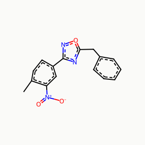 Cc1ccc(-c2noc(Cc3ccccc3)n2)cc1[N+](=O)[O-]